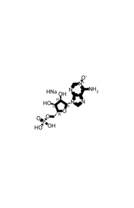 Nc1c2ncn([C@@H]3O[C@H](COP(=O)(O)O)[C@@H](O)[C@H]3O)c2nc[n+]1[O-].[NaH]